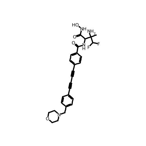 CC(N)(C(F)F)C(NC(=O)c1ccc(C#CC#Cc2ccc(CN3CCOCC3)cc2)cc1)C(=O)NO